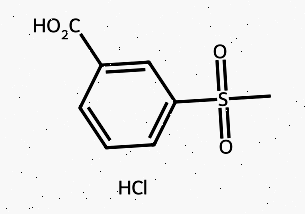 CS(=O)(=O)c1cccc(C(=O)O)c1.Cl